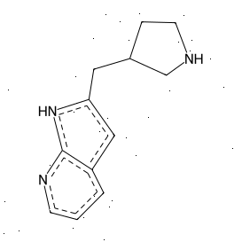 c1cnc2[nH]c(CC3CCNC3)cc2c1